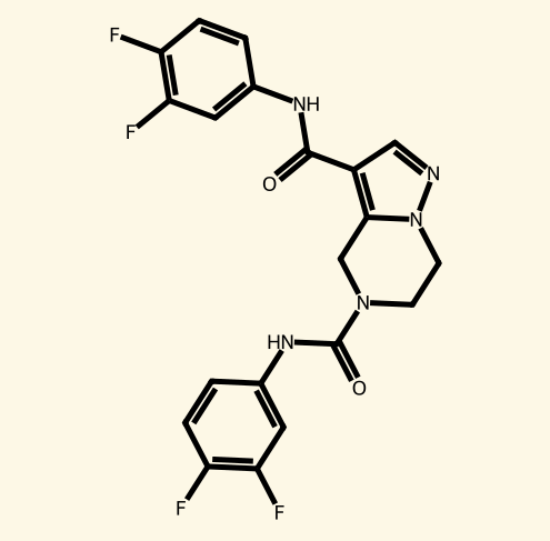 O=C(Nc1ccc(F)c(F)c1)c1cnn2c1CN(C(=O)Nc1ccc(F)c(F)c1)CC2